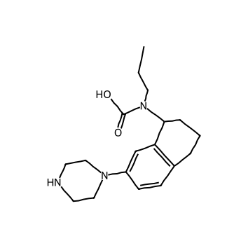 CCCN(C(=O)O)C1CCCc2ccc(N3CCNCC3)cc21